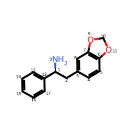 N[C@@H](Cc1ccc2c(c1)OCO2)c1ccccc1